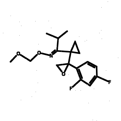 COCON=C(C(C)C)C1(C2(c3ccc(F)cc3F)CO2)CC1